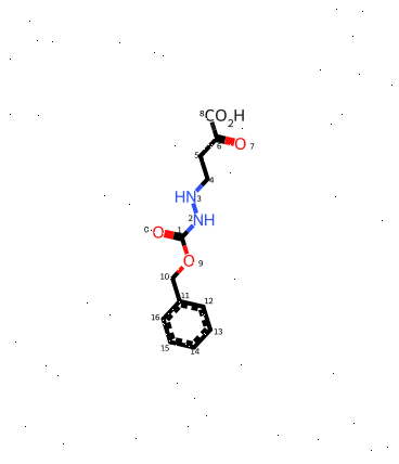 O=C(NNCCC(=O)C(=O)O)OCc1ccccc1